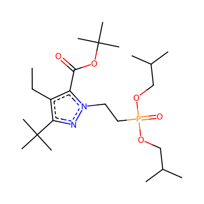 CCc1c(C(C)(C)C)nn(CCP(=O)(OCC(C)C)OCC(C)C)c1C(=O)OC(C)(C)C